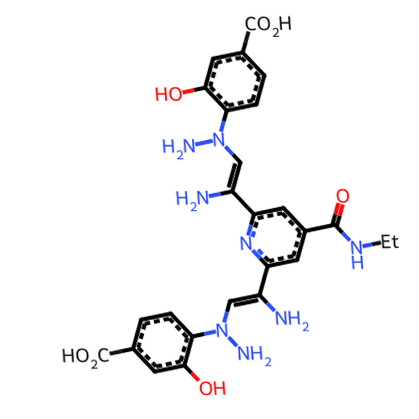 CCNC(=O)c1cc(/C(N)=C/N(N)c2ccc(C(=O)O)cc2O)nc(/C(N)=C/N(N)c2ccc(C(=O)O)cc2O)c1